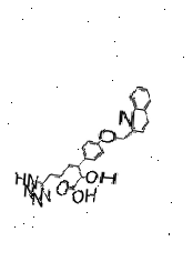 O=C(O)C(O)C(CCCc1nnn[nH]1)c1ccc(OCc2ccc3ccccc3n2)cc1